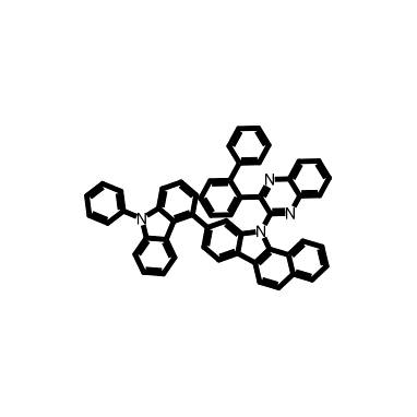 c1ccc(-c2ccccc2-c2nc3ccccc3nc2-n2c3cc(-c4cccc5c4c4ccccc4n5-c4ccccc4)ccc3c3ccc4ccccc4c32)cc1